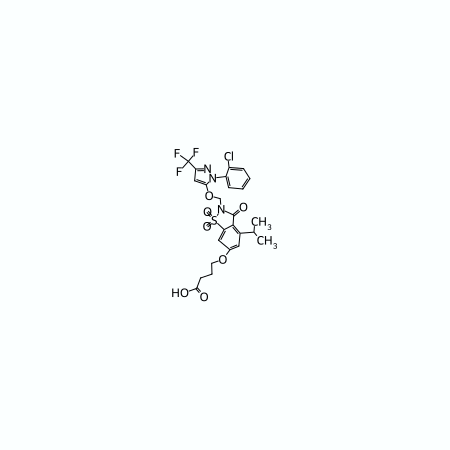 CC(C)c1cc(OCCCC(=O)O)cc2c1C(=O)N(COc1cc(C(F)(F)F)nn1-c1ccccc1Cl)S2(=O)=O